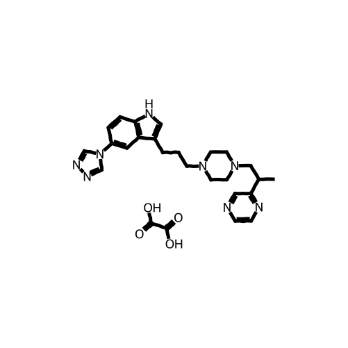 CC(CN1CCN(CCCc2c[nH]c3ccc(-n4cnnc4)cc23)CC1)c1cnccn1.O=C(O)C(=O)O